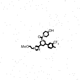 COCCn1cnc(C2CC(c3ccc(C)c(C(F)(F)F)c3)CN(C(=O)N3CCC(O)CC3)C2)c1